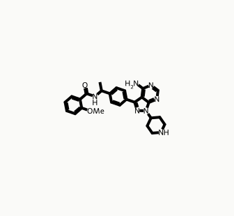 COc1ccccc1C(=O)NC(C)c1ccc(-c2nn(C3CCNCC3)c3ncnc(N)c23)cc1